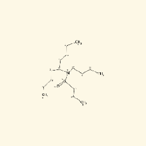 CCCCC(CCCC)N(CCCC)C(=O)CCC